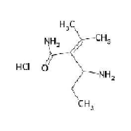 CCC(N)C(C(N)=O)=C(C)C.Cl